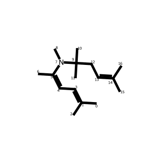 CC(C)=C/C=C(/C)N(C)C(C)(C)CC=C(C)C